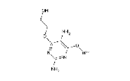 CCCOc1nc(N)nc(OCCO)c1N